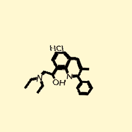 CCN(CC)CC(O)c1cccc2cc(C)c(-c3ccccc3)nc12.Cl